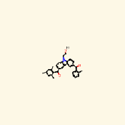 CCOCCn1c2ccc(C(=O)C3=C(C)CC(C)C=C3C)cc2c2cc(C(=O)c3ccccc3C)ccc21